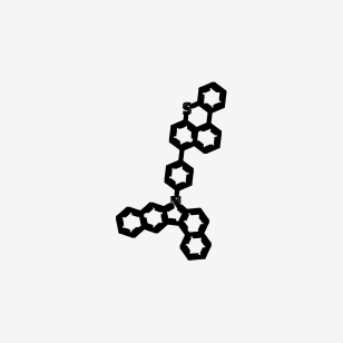 c1ccc2c(c1)Sc1ccc(-c3ccc(-n4c5cc6ccccc6cc5c5c6ccccc6ccc54)cc3)c3cccc-2c13